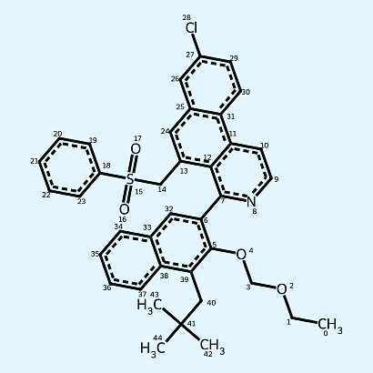 CCOCOc1c(-c2nccc3c2c(CS(=O)(=O)c2ccccc2)cc2cc(Cl)ccc23)cc2ccccc2c1CC(C)(C)C